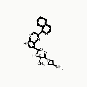 C[C@@H](NC(=O)c1c[nH]c2ncc(-c3nccc4ccccc34)nc12)C(=O)N1CC(N)C1